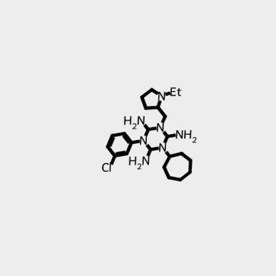 CCN1CCCC1CN1C(N)N(c2cccc(Cl)c2)C(N)N(C2CCCCCC2)C1N